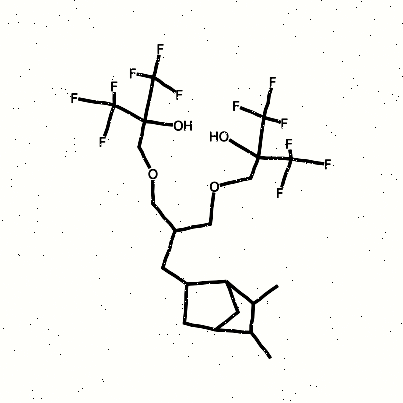 CC1C2CC(CC(COCC(O)(C(F)(F)F)C(F)(F)F)COCC(O)(C(F)(F)F)C(F)(F)F)C(C2)C1C